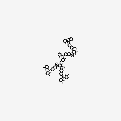 Cc1ccccc1N(c1ccc2cc3c(cc2c1)oc1c(C)c(C)c2oc4cc5cc(N(c6ccccc6C)c6cc(Cc7c(C)c8oc9cc%10cc(N(c%11cccc(C)c%11C)c%11cccc(C)c%11C)ccc%10cc9c8c8c7oc7cc9cc(N(c%10cccc(C)c%10C)c%10cccc(C)c%10C)ccc9cc78)ccc6C)ccc5cc4c2c13)c1ccccc1C